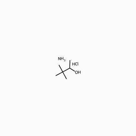 Cl.N.[CH2]C(O)C(C)(C)C